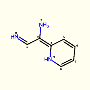 N=C/C(N)=C1/C=CC=CN1